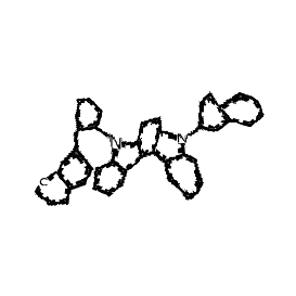 c1ccc(-n2c3ccccc3c3c4c5ccccc5n(-c5ccc6ccccc6c5)c4ccc32)c(-c2ccc3ccccc3c2)c1